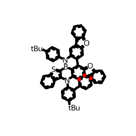 CC(C)(C)c1ccc(N2B3c4sc5ccccc5c4N(c4ccc(C(C)(C)C)cc4-c4ccccc4)c4cc5c(oc6ccccc65)c(c43)-c3cc4oc5ccccc5c4cc32)cc1